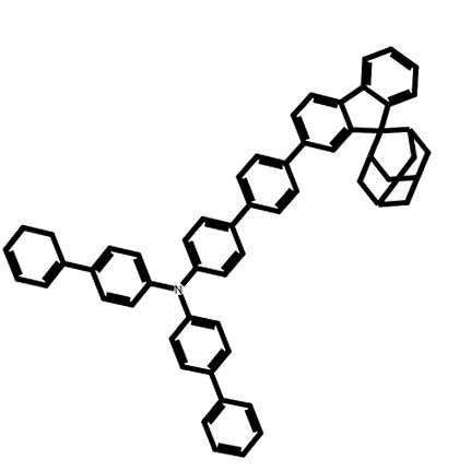 C1=CCCC(c2ccc(N(c3ccc(-c4ccccc4)cc3)c3ccc(-c4ccc(-c5ccc6c(c5)C5(c7ccccc7-6)C6CC7CC(C6)CC5C7)cc4)cc3)cc2)=C1